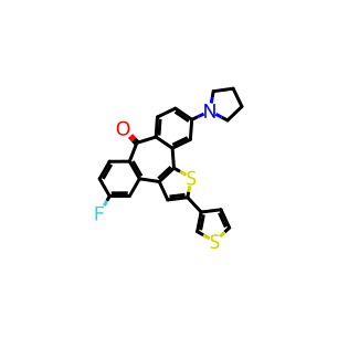 O=c1c2ccc(F)cc2c2cc(-c3ccsc3)sc2c2cc(N3CCCC3)ccc12